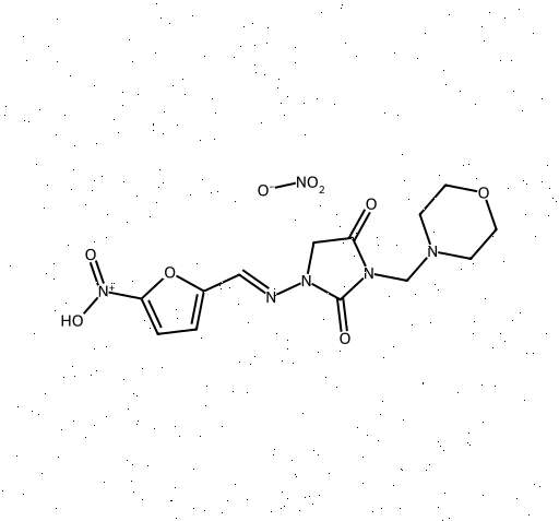 O=C1CN(N=Cc2ccc([N+](=O)O)o2)C(=O)N1CN1CCOCC1.O=[N+]([O-])[O-]